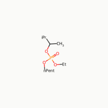 CCCCCOP(=O)(OCC)OC(C)C(C)C